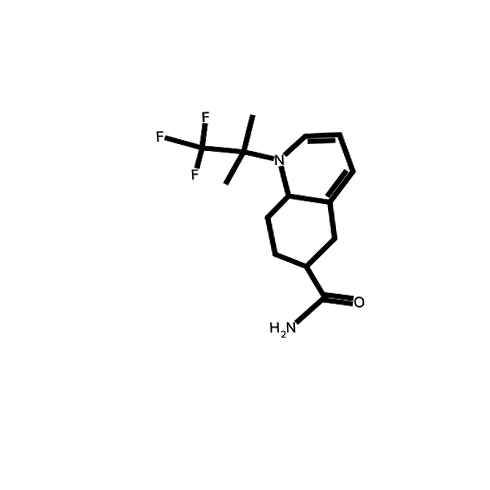 CC(C)(N1C=CC=C2CC(C(N)=O)CCC21)C(F)(F)F